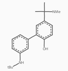 CNC(C)(C)c1ccc(O)c(-c2cccc(NC(C)(C)C)c2)c1